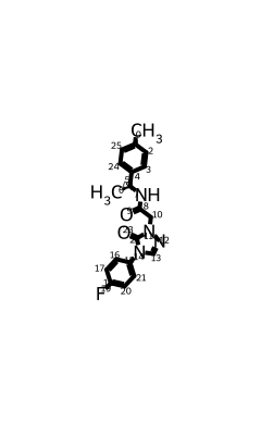 Cc1ccc([C@H](C)NC(=O)Cn2ncn(-c3ccc(F)cc3)c2=O)cc1